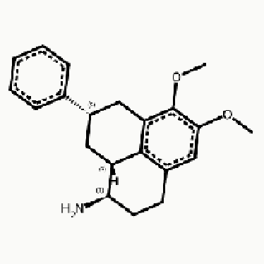 COc1cc2c3c(c1OC)C[C@@H](c1ccccc1)C[C@H]3[C@H](N)CC2